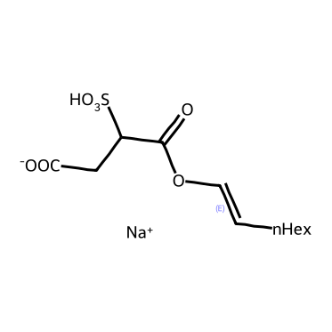 CCCCCC/C=C/OC(=O)C(CC(=O)[O-])S(=O)(=O)O.[Na+]